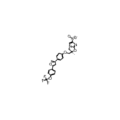 C[C@]1(COc2ccc(-c3cc(-c4ccc(OC(F)(F)F)cc4)on3)cc2)Cn2cc([N+](=O)[O-])nc2O1